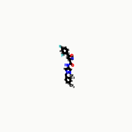 O=C(Nc1cnn(Cc2ccc(C(F)(F)F)cc2C(F)(F)F)c1)c1cc(-c2ccc(F)cc2F)on1